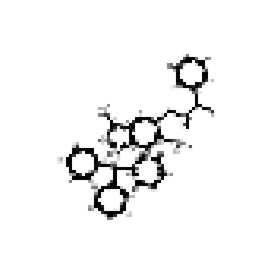 CC(NCc1cc2c(Cl)nn(C(c3ccccc3)(c3ccccc3)c3ccccc3)c2cc1N)c1ccccc1